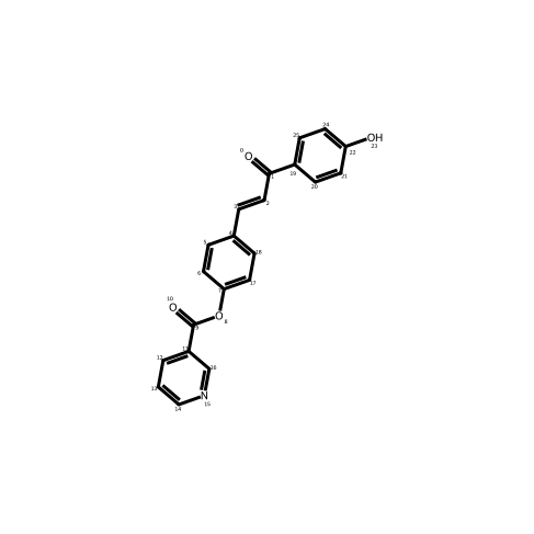 O=C(C=Cc1ccc(OC(=O)c2cccnc2)cc1)c1ccc(O)cc1